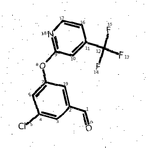 O=Cc1cc(Cl)cc(Oc2cc(C(F)(F)F)ccn2)c1